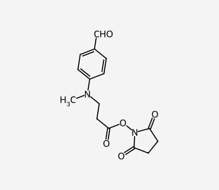 CN(CCC(=O)ON1C(=O)CCC1=O)c1ccc(C=O)cc1